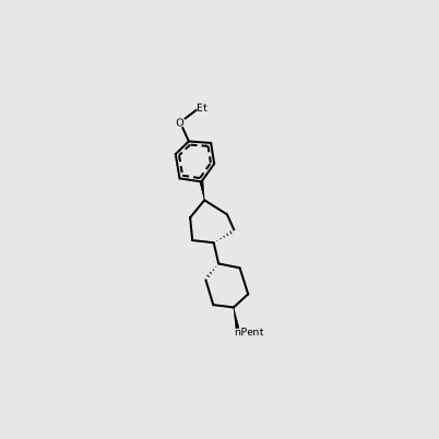 CCCCC[C@H]1CC[C@H]([C@H]2CC[C@H](c3ccc(OCC)cc3)CC2)CC1